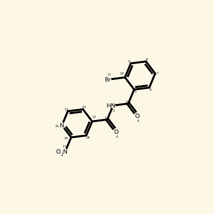 O=C(NC(=O)c1ccccc1Br)c1ccnc([N+](=O)[O-])c1